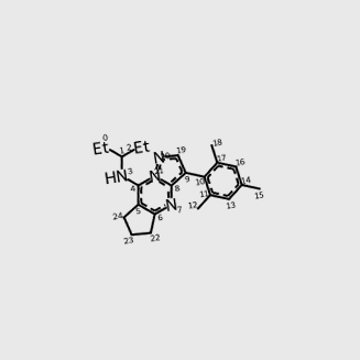 CCC(CC)Nc1c2c(nc3c(-c4c(C)cc(C)cc4C)cnn13)CCC2